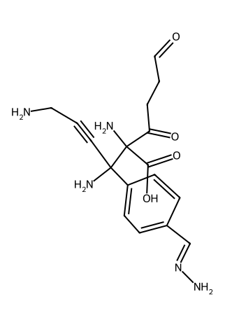 NCC#CC(N)(c1ccc(C=NN)cc1)C(N)(C(=O)O)C(=O)CCC=O